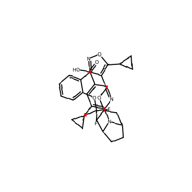 O=C(O)c1cnc(N2C3CCC2CC(OCc2c(-c4ccccc4OC(F)(F)F)noc2C2CC2)C3)c(C2CC2)c1